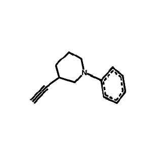 C#CC1CCCN(c2ccccc2)C1